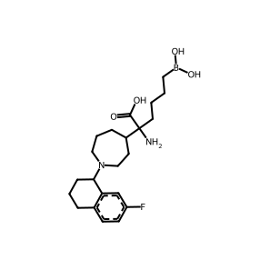 NC(CCCCB(O)O)(C(=O)O)C1CCCN(C2CCCc3ccc(F)cc32)CC1